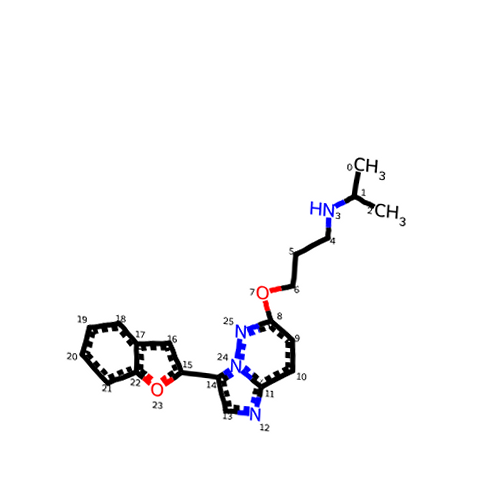 CC(C)NCCCOc1ccc2ncc(-c3cc4ccccc4o3)n2n1